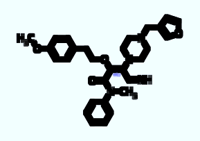 COc1ccc(CCO/C(C(=O)N(C)c2ccccc2)=C(/C=N)N2CCN(Cc3ccoc3)CC2)cc1